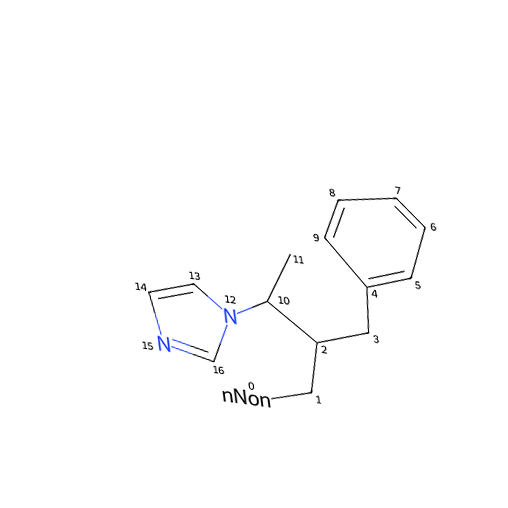 CCCCCCCCCCC(Cc1ccccc1)C(C)n1ccnc1